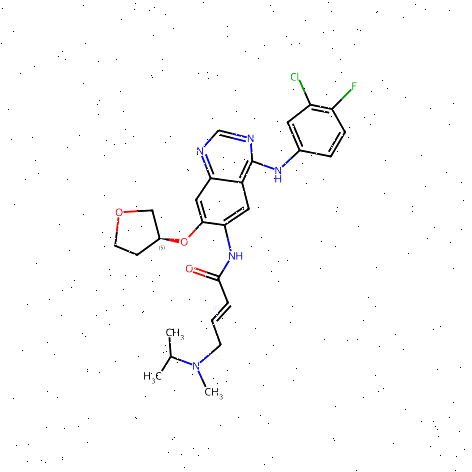 CC(C)N(C)C/C=C/C(=O)Nc1cc2c(Nc3ccc(F)c(Cl)c3)ncnc2cc1O[C@H]1CCOC1